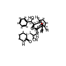 N#C[C@@H](C[C@H]1CCCNC1=O)NC(=O)[C@H]1[C@H]2CC[C@H](CC2(F)F)N1C(=O)[C@H](O)c1ccccc1